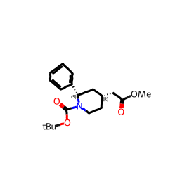 COC(=O)C[C@@H]1CCN(C(=O)OC(C)(C)C)[C@H](c2ccccc2)C1